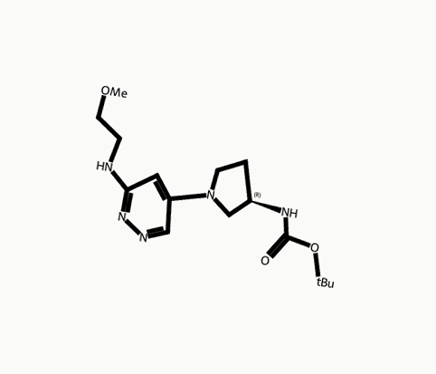 COCCNc1cc(N2CC[C@@H](NC(=O)OC(C)(C)C)C2)cnn1